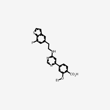 CCOc1cc(-c2cc(NCCc3cc(F)c4sccc4c3)ncn2)ccc1C(=O)O